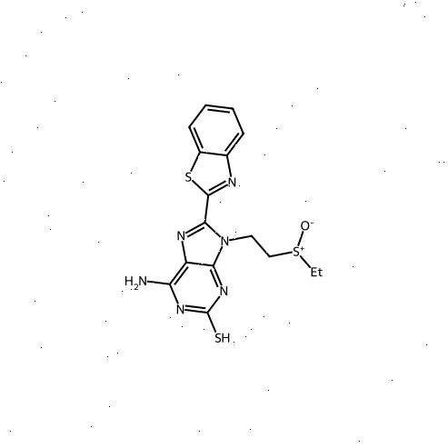 CC[S+]([O-])CCn1c(-c2nc3ccccc3s2)nc2c(N)nc(S)nc21